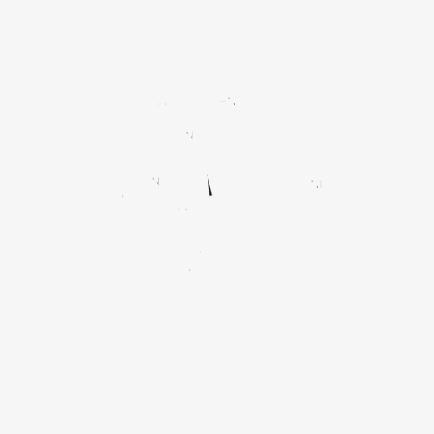 CN1C(=O)[C@@]2(SSSC(c3ccccc3)(c3ccccc3)c3ccccc3)C[C@]3(c4c[nH]c5ccccc45)c4ccccc4N[C@@H]3N2C(=O)[C@H]1O